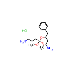 CO[Si](CCCN)(OC)OC(CCN)Cc1ccccc1.Cl